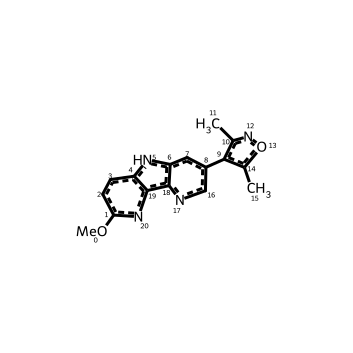 COc1ccc2[nH]c3cc(-c4c(C)noc4C)cnc3c2n1